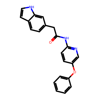 O=C(Cc1ccc2cc[nH]c2c1)Nc1ccc(Oc2ccccc2)cn1